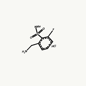 CNS(=O)(=O)c1c(F)cccc1CN.Cl